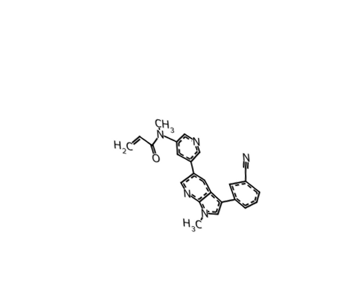 C=CC(=O)N(C)c1cncc(-c2cnc3c(c2)c(-c2cccc(C#N)c2)cn3C)c1